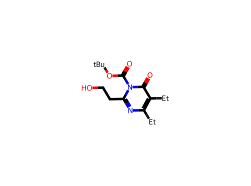 CCc1nc(CCO)n(C(=O)OC(C)(C)C)c(=O)c1CC